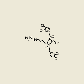 CC(C)C[C@@H]1CN(C(=O)CCc2ccc(Cl)c(Cl)c2)[C@@H](CCCCNCCN)CN1C(=O)CCc1ccc(Cl)c(Cl)c1